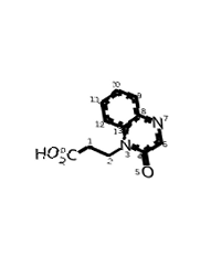 O=C(O)CCn1c(=O)cnc2ccccc21